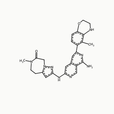 Cc1c(-c2cc3cc(Nc4cc5n(n4)CC(=O)N(C)CC5)ncc3c(N)n2)ccc2c1NCCO2